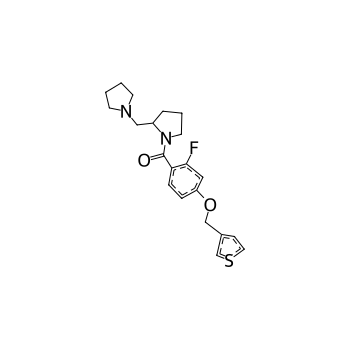 O=C(c1ccc(OCc2ccsc2)cc1F)N1CCCC1CN1CCCC1